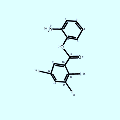 Nc1ccccc1OC(=O)c1cc(I)cc(I)c1I